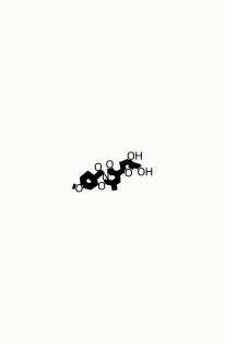 COc1ccc(C(=O)N2C(=O)C(C)=CC(C3CC(O)C(CO)O3)C2=O)cc1